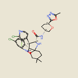 Cc1nnc([C@@H]2CC[C@@H](NC(=O)[C@@H]3NC4(CCC(C)(C)CC4)[C@@]4(C(=O)Nc5cc(Cl)ccc54)[C@H]3c3ccnc(Cl)c3F)CO2)o1